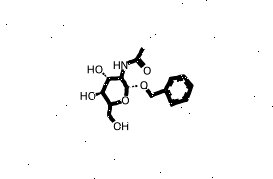 CC(=O)NC1[C@H](OCc2ccccc2)OC(CO)[C@@H](O)[C@@H]1O